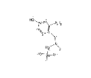 CC(Cc1ccc(O)cc1N)NS(C)(=O)=O